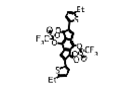 CCc1ccc(-c2cc3c(OS(=O)(=O)C(F)(F)F)c4c(=O)c(-c5ccc(CC)s5)cc4c(OS(=O)(=O)C(F)(F)F)c3c2=O)s1